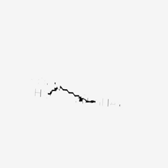 CCCCCCC#CCOC(=O)CCCCCCCN(CCCO)CCCCCCCC